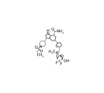 CCS(=O)(=O)N1CCC(c2c[nH]c3c(C(N)=O)cc(-c4ccc(CN(C)C)s4)cc23)CC1.O=C(O)C(F)(F)F